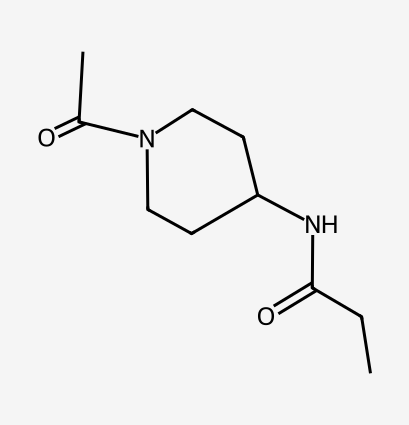 CCC(=O)NC1CCN(C(C)=O)CC1